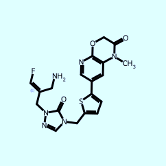 CN1C(=O)COc2ncc(-c3ccc(Cn4cnn(C/C(=C/F)CN)c4=O)s3)cc21